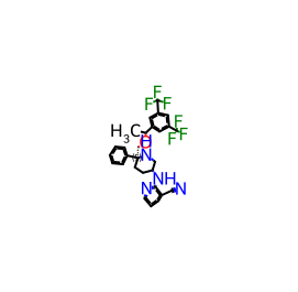 CC(OC[C@@]1(c2ccccc2)CCC(Nc2ncccc2C#N)CN1)c1cc(C(F)(F)F)cc(C(F)(F)F)c1